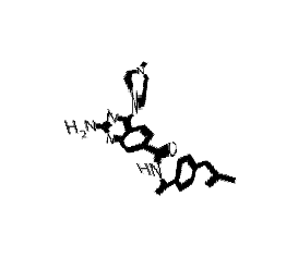 CC(C)Cc1ccc(C(C)NC(=O)c2ccc3c(N4CCN(C)CC4)nc(N)nc3c2)cc1